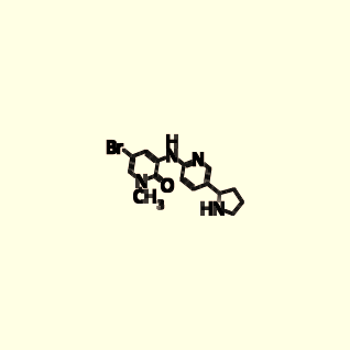 Cn1cc(Br)cc(Nc2ccc(C3CCCN3)cn2)c1=O